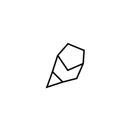 C1CC2CC1CC1CC21